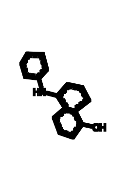 Oc1cccc2c(Nc3ccccc3)cccc12